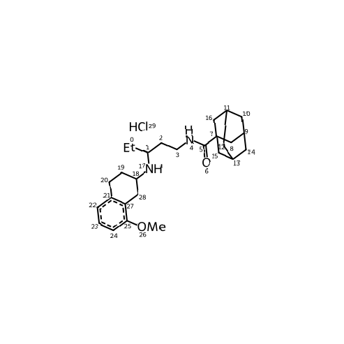 CCC(CCNC(=O)C12CC3CC(CC(C3)C1)C2)NC1CCc2cccc(OC)c2C1.Cl